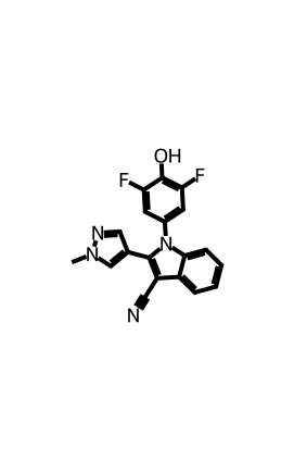 Cn1cc(-c2c(C#N)c3ccccc3n2-c2cc(F)c(O)c(F)c2)cn1